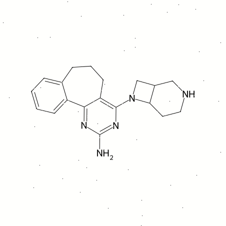 Nc1nc2c(c(N3CC4CNCCC43)n1)CCCc1ccccc1-2